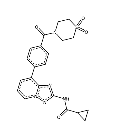 O=C(Nc1nc2c(-c3ccc(C(=O)N4CCS(=O)(=O)CC4)cc3)cccn2n1)C1CC1